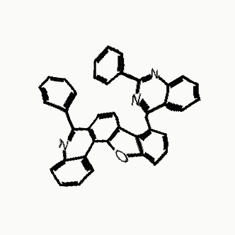 c1ccc(-c2nc(-c3cccc4oc5c(ccc6c(-c7ccccc7)nc7ccccc7c65)c34)c3ccccc3n2)cc1